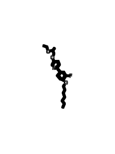 CCCCCCCOc1ccc(-c2ccc(OCC(C)OCC)cn2)cc1F